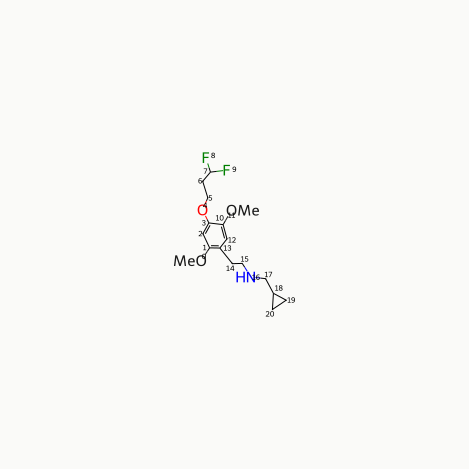 COc1cc(OCCC(F)F)c(OC)cc1CCNCC1CC1